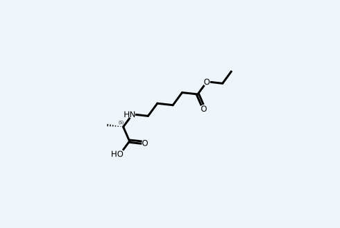 CCOC(=O)CCCCN[C@@H](C)C(=O)O